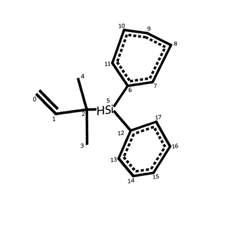 C=CC(C)(C)[SiH](c1ccccc1)c1ccccc1